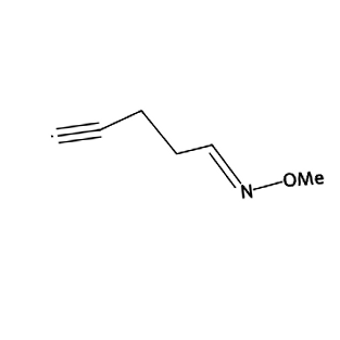 [C]#CCC/C=N/OC